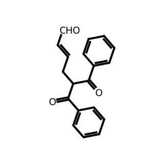 O=CC=CCC(C(=O)c1ccccc1)C(=O)c1ccccc1